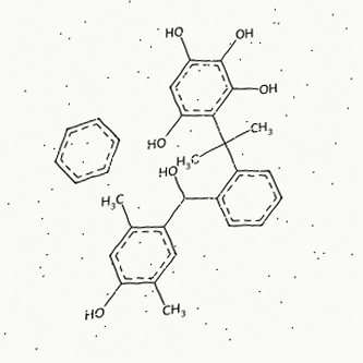 Cc1cc(C(O)c2ccccc2C(C)(C)c2c(O)cc(O)c(O)c2O)c(C)cc1O.c1ccccc1